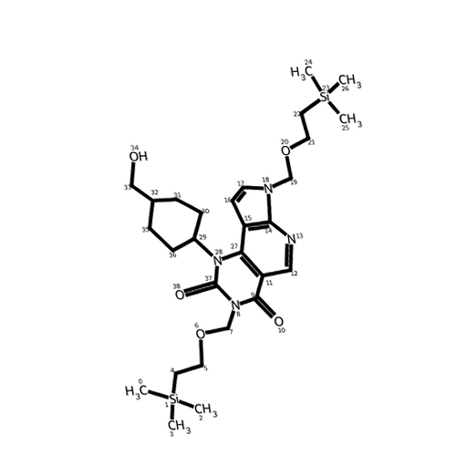 C[Si](C)(C)CCOCn1c(=O)c2cnc3c(ccn3COCC[Si](C)(C)C)c2n(C2CCC(CO)CC2)c1=O